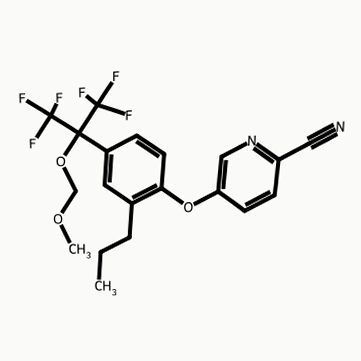 CCCc1cc(C(OCOC)(C(F)(F)F)C(F)(F)F)ccc1Oc1ccc(C#N)nc1